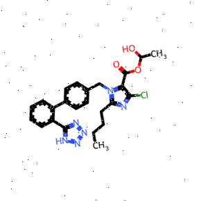 CCCCc1nc(Cl)c(C(=O)OC(C)O)n1Cc1ccc(-c2ccccc2-c2nnn[nH]2)cc1